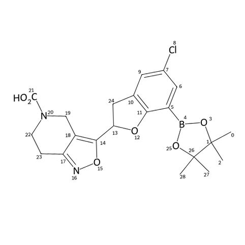 CC1(C)OB(c2cc(Cl)cc3c2OC(c2onc4c2CN(C(=O)O)CC4)C3)OC1(C)C